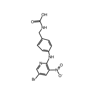 O=C(O)NCc1ccc(Nc2ncc(Br)cc2[N+](=O)[O-])cc1